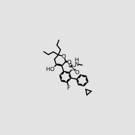 C1CC1.CCCC1(CCC)CC(O)=C(c2ccc(F)c(-c3ccccc3)c2S(=O)(=O)NC)C(=O)O1